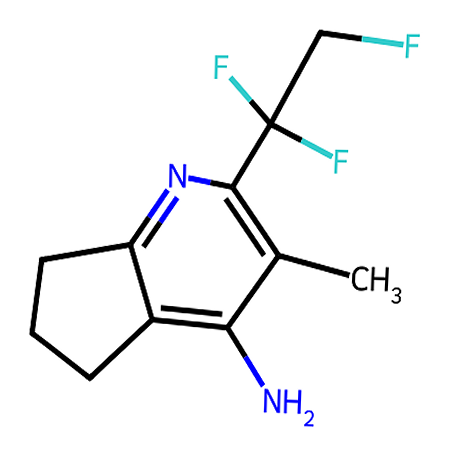 Cc1c(C(F)(F)CF)nc2c(c1N)CCC2